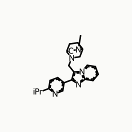 CC(C)c1ccc(-c2nc3ccccn3c2CN2CC3CCC2CN3C)cn1